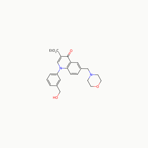 CCOC(=O)c1cn(-c2cccc(CO)c2)c2ccc(CN3CCOCC3)cc2c1=O